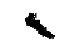 Cc1c(-c2nc3cc(CN4CC[C@@H](C(=O)NCCO)C4)cc(C#N)c3o2)cccc1-c1cccc(-n2cc3c(n2)CN(C(C)C)CC3)c1Cl